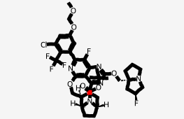 COCOc1cc(Cl)c(C(F)(F)F)c(-c2nc3c4c(nc(OC[C@]56CCCN5C[C@@H](F)C6)nc4c2F)N2C[C@@H]4CC[C@H]([C@H]2CO3)N4C(=O)OC(C)(C)C)c1